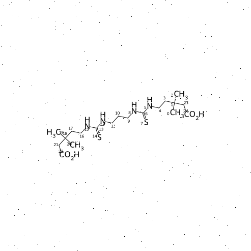 CC(C)(CCNC(=S)NCCCNC(=S)NCCC(C)(C)CC(=O)O)CC(=O)O